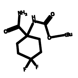 CC(C)(C)OC(=O)NC1(C(N)=O)CCC(F)(F)CC1